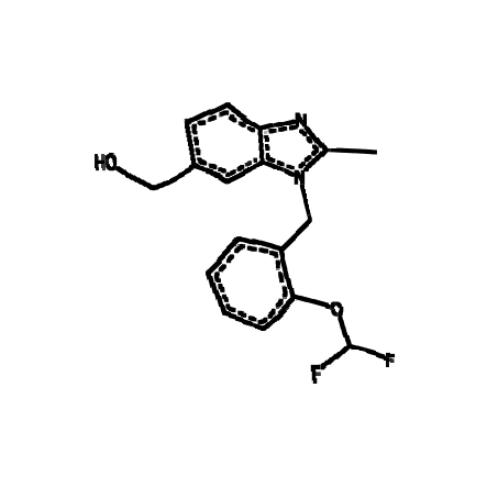 Cc1nc2ccc(CO)cc2n1Cc1ccccc1OC(F)F